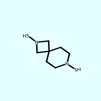 SN1CCC2(CC1)CN(S)C2